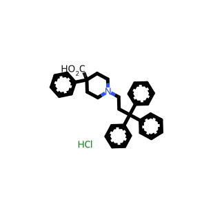 Cl.O=C(O)C1(c2ccccc2)CCN(CCC(c2ccccc2)(c2ccccc2)c2ccccc2)CC1